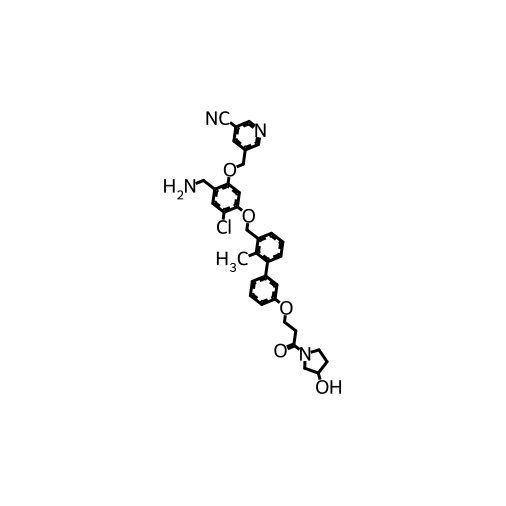 Cc1c(COc2cc(OCc3cncc(C#N)c3)c(CN)cc2Cl)cccc1-c1cccc(OCCC(=O)N2CCC(O)C2)c1